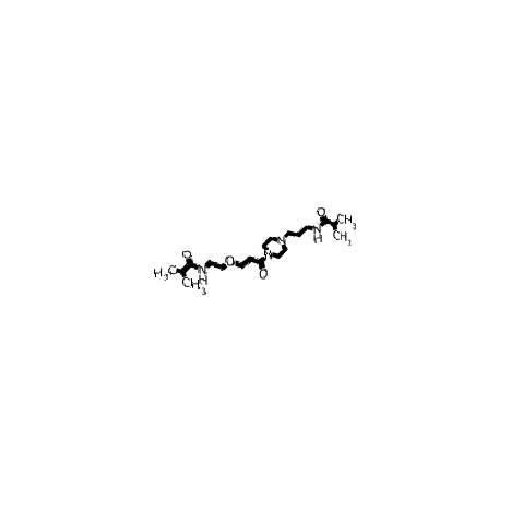 CC(C)C(=O)NCCCN1CCN(C(=O)CCOCCNC(=O)C(C)C)CC1